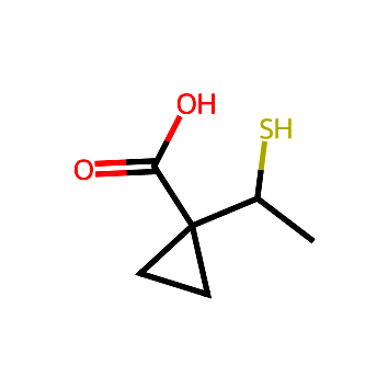 CC(S)C1(C(=O)O)CC1